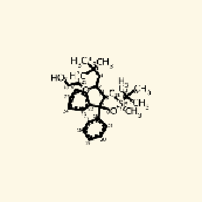 CC(C)(C)CC(CC(O[Si](C)(C)C(C)(C)C)(c1ccccc1)c1ccccc1)OCCO